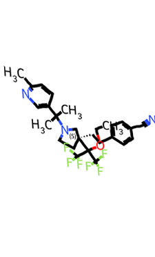 CCOC(C(F)(F)F)(C(F)(F)F)[C@@]1(CCc2ccc(C#N)cc2)CCN(C(C)(C)c2ccc(C)nc2)C1